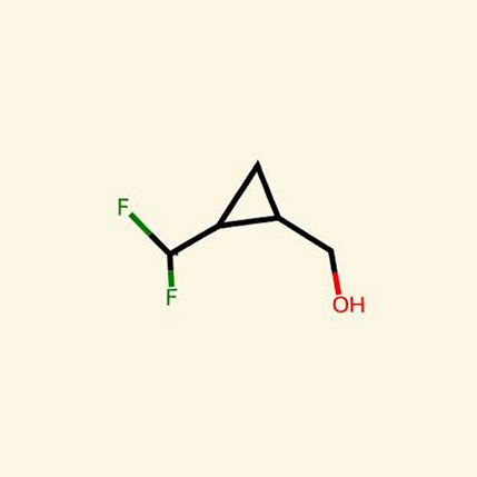 OCC1CC1[C](F)F